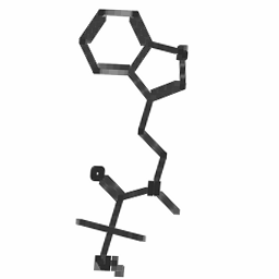 CN(CCc1csc2ccccc12)C(=O)C(C)(C)N